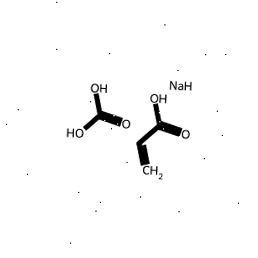 C=CC(=O)O.O=C(O)O.[NaH]